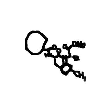 CC[C@H](NC(=O)[C@@H](Cc1ccc(C)cc1)NC(=O)C1CCCCCCCCCC1)C(=O)OC